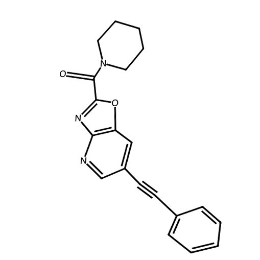 O=C(c1nc2ncc(C#Cc3ccccc3)cc2o1)N1CCCCC1